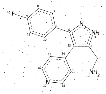 NCc1[nH]nc(-c2ccc(F)cc2)c1-c1ccncc1